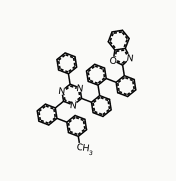 Cc1cccc(-c2ccccc2-c2nc(-c3ccccc3)nc(-c3ccccc3-c3ccccc3-c3ccccc3-c3nc4ccccc4o3)n2)c1